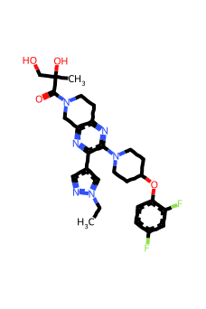 CCn1cc(-c2nc3c(nc2N2CCC(Oc4ccc(F)cc4F)CC2)CCN(C(=O)C(C)(O)CO)C3)cn1